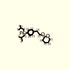 CC(C)C[Si](F)(CC(C)C)c1ccc(CCOC2CCCCO2)cc1